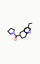 CCc1cnc2c(c1)CC(C(=O)N1CCCC1)CC2